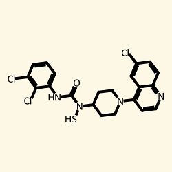 O=C(Nc1cccc(Cl)c1Cl)N(S)C1CCN(c2ccnc3ccc(Cl)cc23)CC1